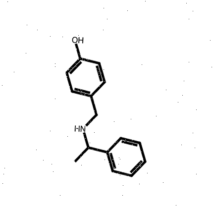 CC(NCc1ccc(O)cc1)c1ccccc1